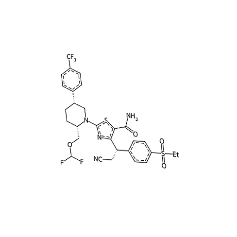 CCS(=O)(=O)c1ccc([C@H](CC#N)c2nc(N3C[C@@H](c4ccc(C(F)(F)F)cc4)CC[C@H]3COC(F)F)sc2C(N)=O)cc1